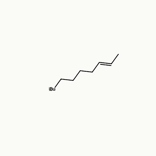 [CH2]CC(C)CCCCC=CC